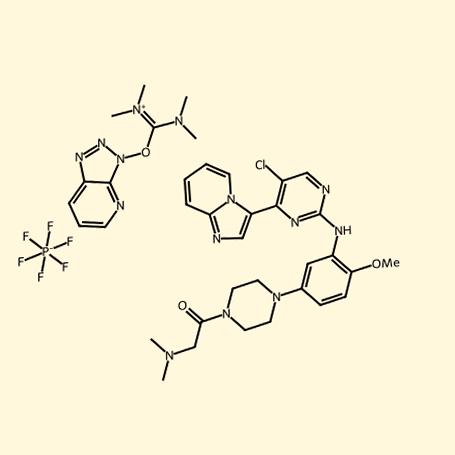 CN(C)C(On1nnc2cccnc21)=[N+](C)C.COc1ccc(N2CCN(C(=O)CN(C)C)CC2)cc1Nc1ncc(Cl)c(-c2cnc3ccccn23)n1.F[P-](F)(F)(F)(F)F